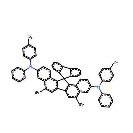 CC(C)c1ccc(N(c2ccccc2)c2ccc3c4c(cc(C(C)C)c3c2)-c2cc(C(C)C)c3cc(N(c5ccccc5)c5ccc(C(C)C)cc5)ccc3c2C42c3ccccc3-c3ccccc32)cc1